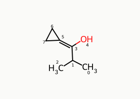 CC(C)C(O)=C1CC1